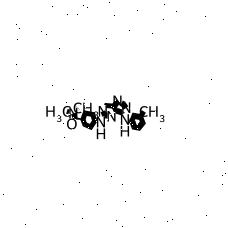 Cc1cccc(Nc2ncnc3cnc(N[C@H]4CC[C@H](C(=O)N(C)C)CC4)nc23)c1